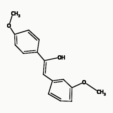 COc1ccc(C(O)=Cc2cccc(OC)c2)cc1